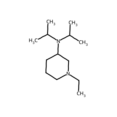 CCN1CCCC(N(C(C)C)C(C)C)C1